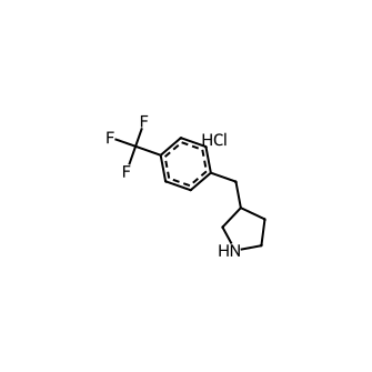 Cl.FC(F)(F)c1ccc(CC2CCNC2)cc1